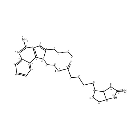 CCCCc1nc2c(N)nc3ccccc3c2n1CCNC(=O)CCCCC1SCC2NC(=N)NC21